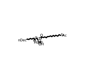 CCCCCCCCCCCCCCCC(=O)O[C@H](COC(=O)CCCCCCCCCCCCCSC(C)=O)COP(=O)(O)O